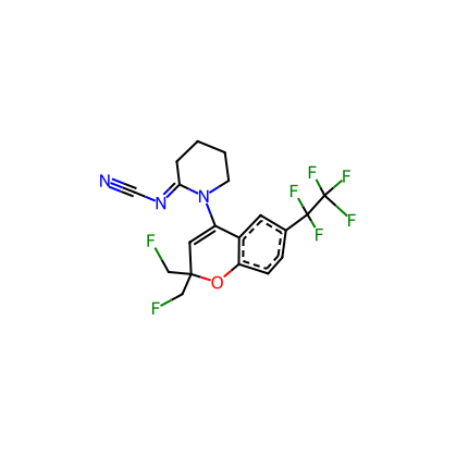 N#CN=C1CCCCN1C1=CC(CF)(CF)Oc2ccc(C(F)(F)C(F)(F)F)cc21